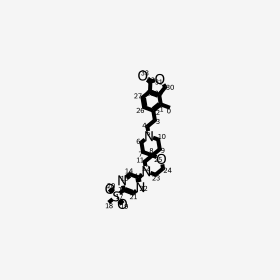 Cc1c(CCN2CCC3(CC2)CN(c2cnc(S(C)(=O)=O)cn2)CCO3)ccc2c1COC2=O